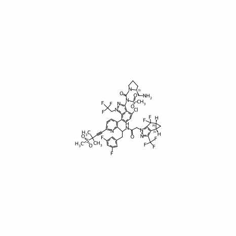 CC(C)(C#Cc1ccc(-c2ccc(Cl)c3c(N(C(=O)N4CCC[C@H]4CN)S(C)(=O)=O)nn(CC(F)(F)F)c23)c(C(Cc2cc(F)cc(F)c2)NC(=O)Cn2nc(C(F)(F)F)c3c2C(F)(F)[C@@H]2C[C@H]32)n1)S(C)(=O)=O